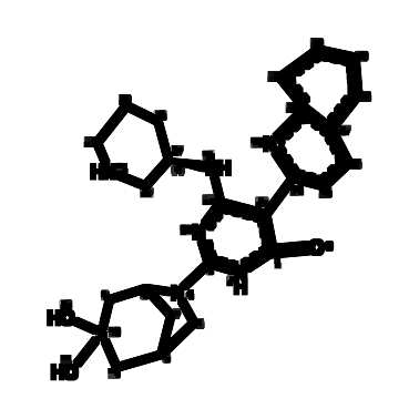 O=c1[nH]c(N2CC3CC2CS(O)(O)C3)nc(N[C@@H]2CCCNC2)c1-c1ccc2ccccc2n1